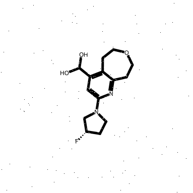 OC(O)c1cc(N2CC[C@H](F)C2)nc2c1CCOCC2